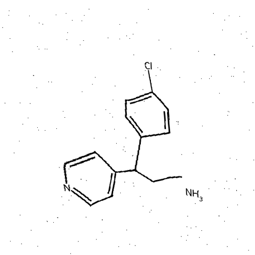 CCC(c1ccncc1)c1ccc(Cl)cc1.N